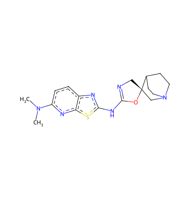 CN(C)c1ccc2nc(NC3=NC[C@@]4(CN5CCC4CC5)O3)sc2n1